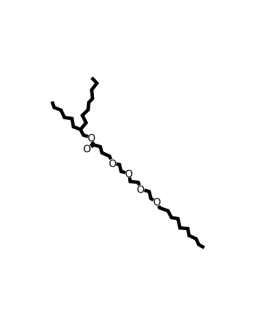 CCCCCCCCCCOCCOCCOCCOCCCC(=O)OCC(CCCCCC)CCCCCCCC